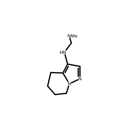 CNCNc1cnn2c1CCCC2